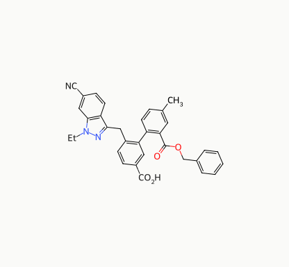 CCn1nc(Cc2ccc(C(=O)O)cc2-c2ccc(C)cc2C(=O)OCc2ccccc2)c2ccc(C#N)cc21